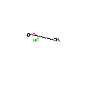 CCCCCCCCCCCCCCCCOCCc1ccccc1.Cl